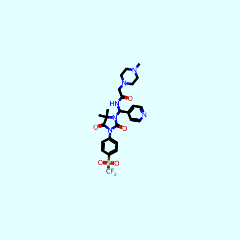 CN1CCN(CC(=O)NC(c2ccncc2)N2C(=O)N(c3ccc(S(=O)(=O)C(F)(F)F)cc3)C(=O)C2(C)C)CC1